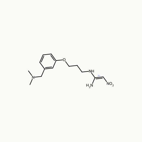 CN(C)Cc1cccc(OCCCN/C(N)=C/[N+](=O)[O-])c1